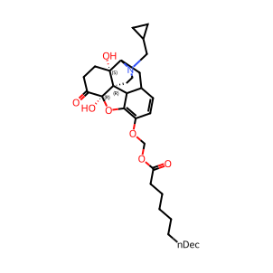 CCCCCCCCCCCCCCCC(=O)OCOC1=C2O[C@@]3(O)C(=O)CC[C@@]4(O)C5CC(C=C1)C2[C@@]34CCN5CC1CC1